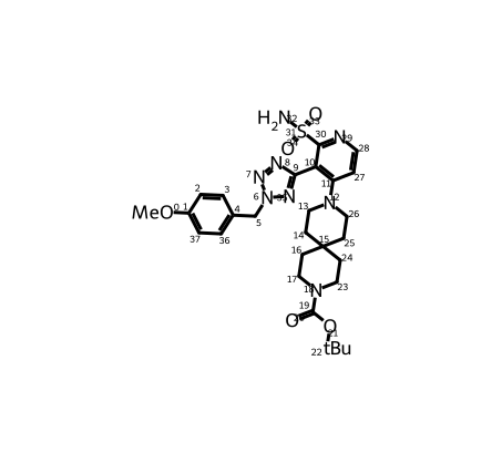 COc1ccc(Cn2nnc(-c3c(N4CCC5(CCN(C(=O)OC(C)(C)C)CC5)CC4)ccnc3S(N)(=O)=O)n2)cc1